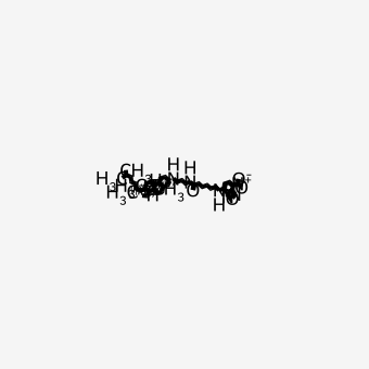 CC(C)CCC[C@@H](C)[C@H]1CC[C@H]2[C@@H]3CC=C4C[C@@H](NCCCNC(=O)CCCCCNc5ccc([N+](=O)[O-])c6nonc56)CC[C@]4(C)[C@H]3CC[C@]12C